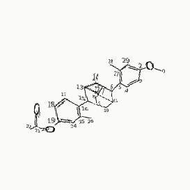 COc1ccc(C2C3CC4CC2CC(C3)C4c2ccc(OC(C)=O)cc2C)c(C)c1